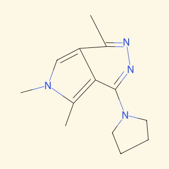 Cc1nnc(N2CCCC2)c2c(C)n(C)cc12